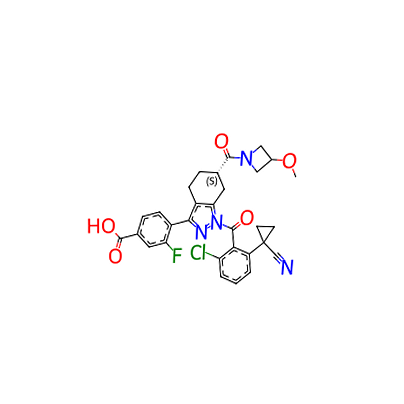 COC1CN(C(=O)[C@H]2CCc3c(-c4ccc(C(=O)O)cc4F)nn(C(=O)c4c(Cl)cccc4C4(C#N)CC4)c3C2)C1